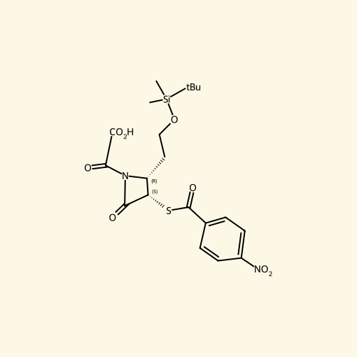 CC(C)(C)[Si](C)(C)OCC[C@@H]1[C@H](SC(=O)c2ccc([N+](=O)[O-])cc2)C(=O)N1C(=O)C(=O)O